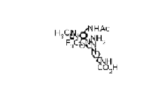 CC(=O)NCc1ccc([C@@H](Oc2cc(N3CCC4(CC3)CNC(C(=O)O)C4)nc(N)n2)C(F)(F)F)c(-n2ccc(C)n2)c1